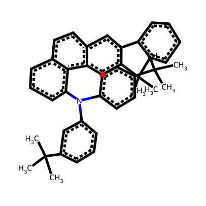 CC(C)(C)c1ccc(N(c2cccc(C(C)(C)C)c2)c2cccc3ccc4cc5c(cc4c23)C(C)(C)c2ccccc2-5)cc1